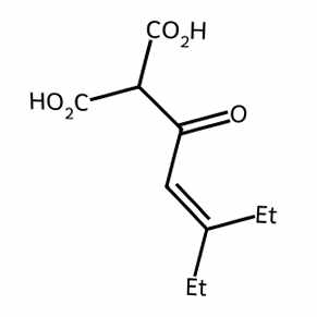 CCC(=CC(=O)C(C(=O)O)C(=O)O)CC